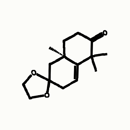 CC1(C)C(=O)CC[C@]2(C)CC3(CC=C12)OCCO3